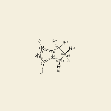 Cn1nc(I)c2c1C(F)(F)[C@@H]1C[C@H]21